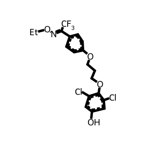 CCON=C(c1ccc(OCCCOc2c(Cl)cc(O)cc2Cl)cc1)C(F)(F)F